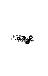 OC[C@H]1O[C@@H](n2cnc3c(NCC(O)(c4ccccc4)c4ccccc4)ncnc32)[C@H](O)[C@@H]1O